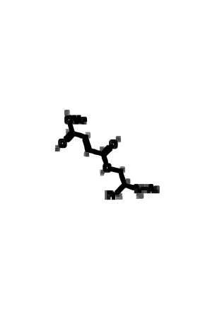 COC(=O)/C=C/C(=O)OC[C@@H](NC(C)=O)C(C)C